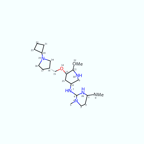 CNC1CCN(C)C(NC2CNC(OC)C(OC[C@@H]3CCN(C4CCC4)C3)C2)N1